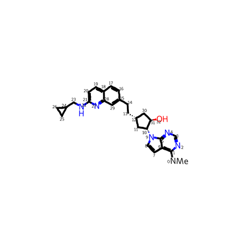 CNc1ncnc2c1ccn2[C@@H]1C[C@H](CCc2ccc3ccc(NCC4CC4)nc3c2)C[C@H]1O